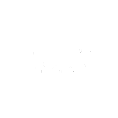 CS(=O)(=O)N(Cc1ncc(-c2nnc(C(F)F)o2)s1)c1cncc(OC(F)F)c1